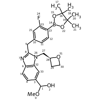 COC(O)c1ccc2nc(Cc3ccc(B4OC(C)(C)C(C)(C)O4)c(F)c3)n(C[C@@H]3CCO3)c2c1